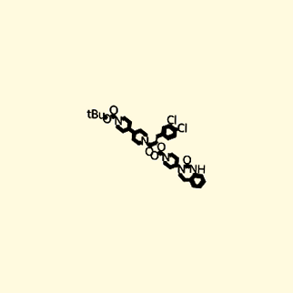 CC(C)(C)OC(=O)N1CCC(C2CCN(C(=O)[C@@H](Cc3ccc(Cl)c(Cl)c3)OC(=O)N3CCC(N4CCc5ccccc5NC4=O)CC3)CC2)CC1